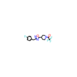 O=C(N1CCC(c2nc(Cc3ccc(F)cc3)no2)CC1)C(F)(F)F